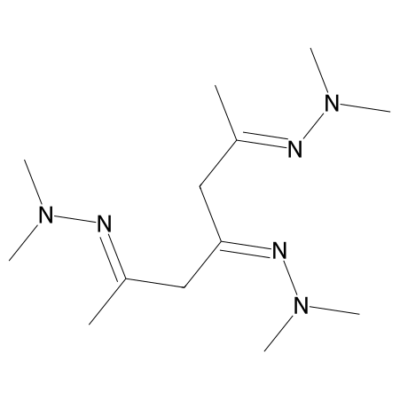 CC(CC(CC(C)=NN(C)C)=NN(C)C)=NN(C)C